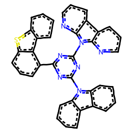 c1ccc2c(c1)sc1cccc(-c3nc(-n4c5ccccc5c5ccccc54)nc(-n4c5ncccc5c5cccnc54)n3)c12